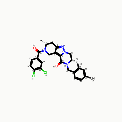 C[C@@H]1Cc2nn3c(c2CN1C(=O)c1ccc(Cl)c(Cl)c1)C(=O)N(Cc1ccc(C#N)cc1C(F)(F)F)CC3